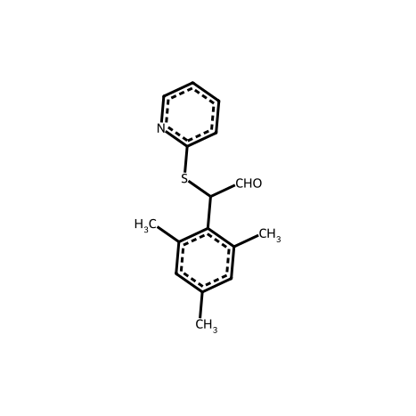 Cc1cc(C)c(C(C=O)Sc2ccccn2)c(C)c1